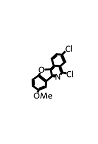 COc1ccc2oc3c4ccc(Cl)cc4c(Cl)nc3c2c1